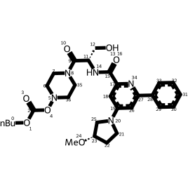 CCCCOC(=O)ON1CCN(C(=O)[C@H](CO)NC(=O)c2cc(N3CC[C@H](OC)C3)cc(-c3ccccc3)n2)CC1